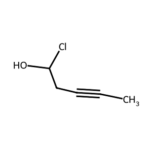 CC#CCC(O)Cl